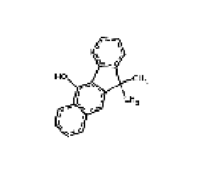 CC1(C)c2cccnc2-c2c1cc1ccccc1c2O